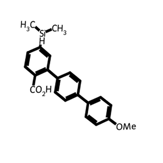 COc1ccc(-c2ccc(-c3cc([SiH](C)C)ccc3C(=O)O)cc2)cc1